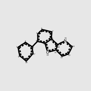 c1ccc(-c2cccc3c2oc2cccnc23)cc1